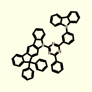 c1ccc(-c2nc(-c3cccc(-n4c5ccccc5c5ccccc54)c3)nc(-n3c4ccccc4c4cc5c(cc43)C(c3ccccc3)(c3ccccc3)c3ccccc3-5)n2)cc1